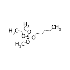 CCCCCO[Si](OC)(OC)OCC